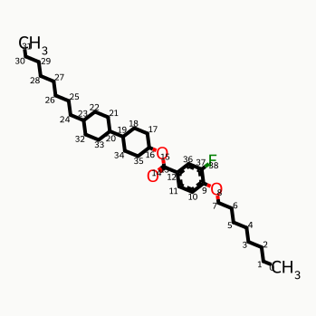 CCCCCCCCOc1ccc(C(=O)OC2CCC(C3CCC(CCCCCCCC)CC3)CC2)cc1F